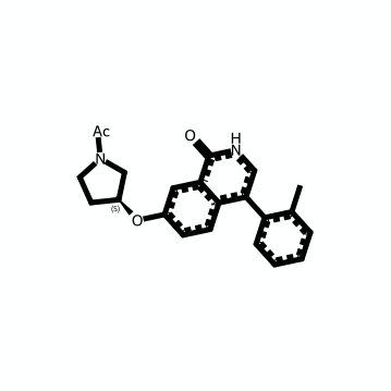 CC(=O)N1CC[C@H](Oc2ccc3c(-c4ccccc4C)c[nH]c(=O)c3c2)C1